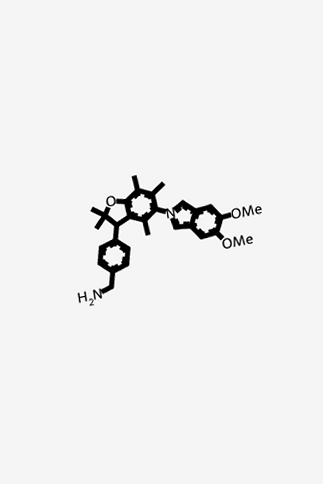 COc1cc2cn(-c3c(C)c(C)c4c(c3C)C(c3ccc(CN)cc3)C(C)(C)O4)cc2cc1OC